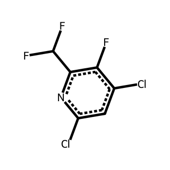 Fc1c(Cl)cc(Cl)nc1C(F)F